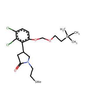 CSCCN1CC(c2c(OCOCC[Si](C)(C)C)ccc(Cl)c2Cl)CC1=O